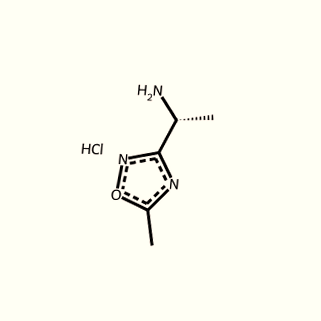 Cc1nc([C@@H](C)N)no1.Cl